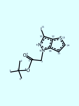 CC(C)(C)OC(=O)Cn1nc(I)c2sccc21